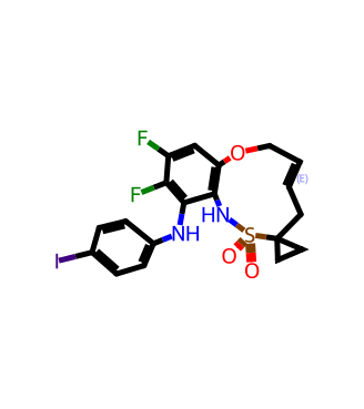 O=S1(=O)Nc2c(cc(F)c(F)c2Nc2ccc(I)cc2)OC/C=C/CC12CC2